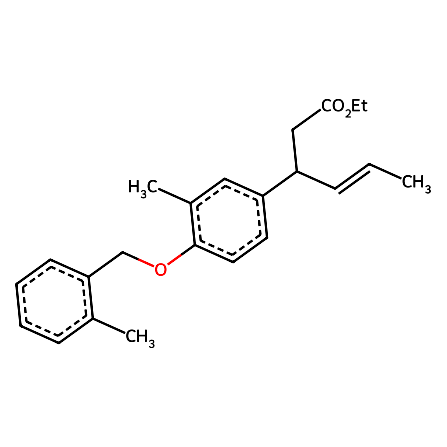 C/C=C/C(CC(=O)OCC)c1ccc(OCc2ccccc2C)c(C)c1